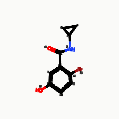 O=C(NC1CC1)c1cc(O)ccc1Br